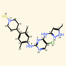 Cc1cc(Nc2nc(Nc3cc(C)c(C4CCN(S)CC4)cc3C)ncc2Cl)n[nH]1